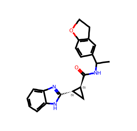 CC(NC(=O)[C@H]1C[C@@H]1c1nc2ccccc2[nH]1)c1ccc2c(c1)CCO2